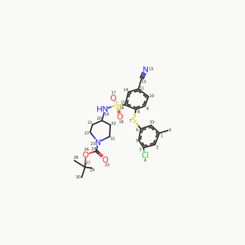 Cc1cc(Cl)cc(Sc2ccc(C#N)cc2S(=O)(=O)NC2CCN(C(=O)OC(C)(C)C)CC2)c1